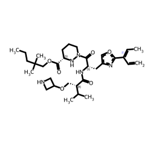 C=C/C(=C\C)c1nc(C[C@H](NC(=O)[C@@H](COC2CNC2)C(C)C)C(=O)N2CCC[C@@H](C(=O)OCC(C)(C)CCC)N2)co1